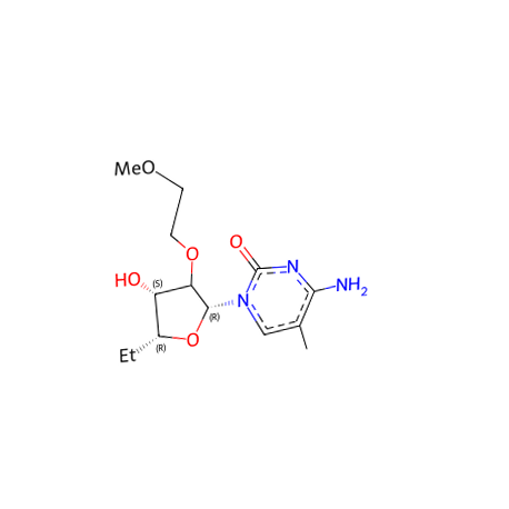 CC[C@H]1O[C@@H](n2cc(C)c(N)nc2=O)C(OCCOC)[C@H]1O